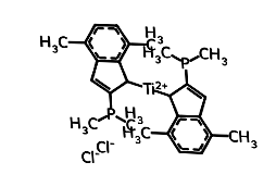 Cc1ccc(C)c2c1C=C(P(C)C)[CH]2[Ti+2][CH]1C(P(C)C)=Cc2c(C)ccc(C)c21.[Cl-].[Cl-]